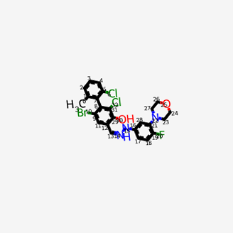 Cc1cccc(Cl)c1-c1c(Br)cc(/C=N\Nc2ccc(F)c(N3CCOCC3)c2)c(O)c1Cl